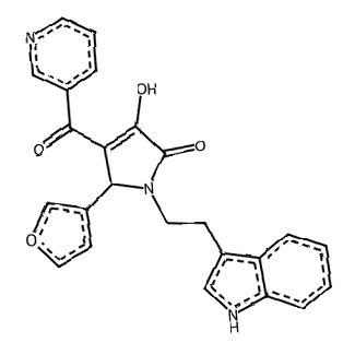 O=C(C1=C(O)C(=O)N(CCc2c[nH]c3ccccc23)C1c1ccoc1)c1cccnc1